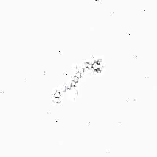 C/C(=C\c1ccc(O[C@H]2C[C@H](O)[C@@H](/C(C)=N/OCc3ccc4c(c3)OCO4)O2)c(F)c1)C(=O)N[C@@H]1[C@H](O)[C@@H](O)[C@H]2OCO[C@H]2[C@@H]1O